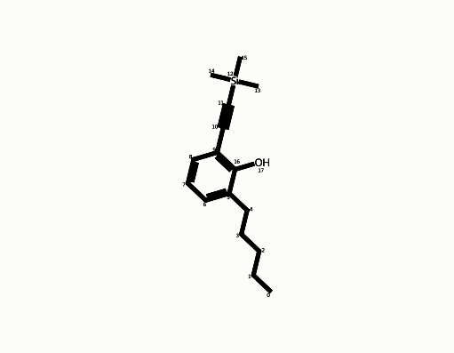 CCCCCc1cccc(C#C[Si](C)(C)C)c1O